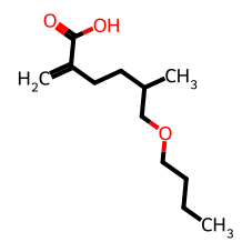 C=C(CCC(C)COCCCC)C(=O)O